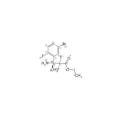 CCOC(=O)C(F)(F)[C@](C)(N)c1cc(Br)ccc1F